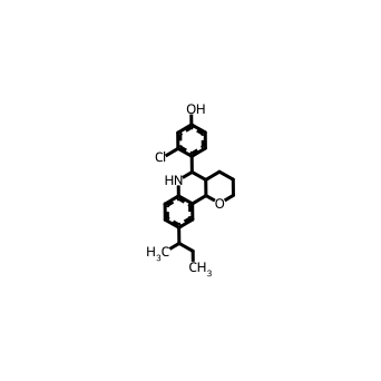 CCC(C)c1ccc2c(c1)C1OCCCC1C(c1ccc(O)cc1Cl)N2